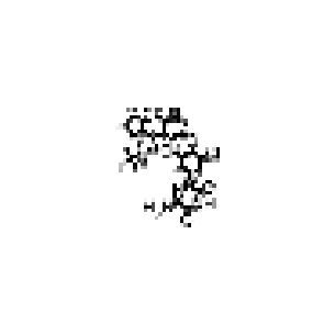 CC(C)(C)[Si](C)(C)OC(c1cc(Oc2c(Cl)cc(-n3nc(N)c(=O)[nH]c3=O)cc2Cl)nnc1Cl)C1CCCC1